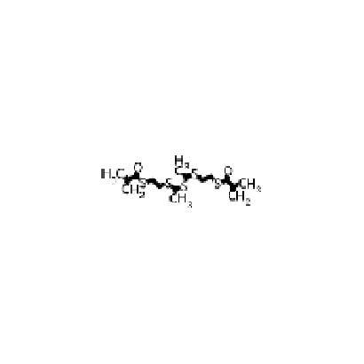 C=C(C)C(=O)SCCSC(C)SC(C)SCCSC(=O)C(=C)C